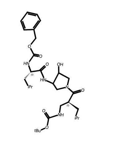 CC(C)C[C@@H](CNC(=O)OC(C)(C)C)C(=O)N1CC(O)C(NC(=O)[C@H](CC(C)C)NC(=O)OCc2ccccc2)C1